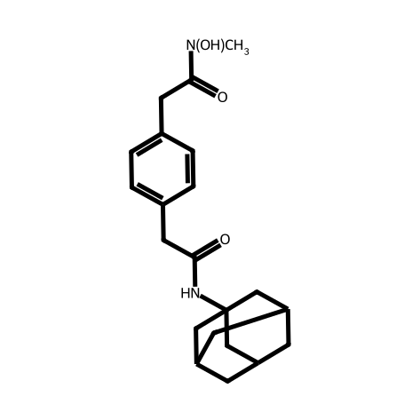 CN(O)C(=O)Cc1ccc(CC(=O)NC23CC4CC(CC(C4)C2)C3)cc1